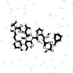 CC[C@H](C)[C@@H]([C@@H](CC(=O)N1CCC[C@H]1[C@H](OC)[C@@H](C)C(=O)N[C@@H](Cc1ccccc1)C(=O)OC)OC)N(C)C(=O)[C@@H](NC(=O)[C@H](C(C)C)N(C)CCN1CCN(C)CC1)C(C)C